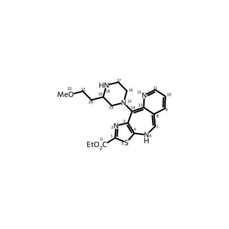 CCOC(=O)c1nc2c(s1)NC=c1cccnc1=C2N1CCNC(CCOC)C1